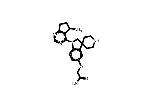 CC1CCc2ncnc(N3CC4(CCNCC4)c4cc(OCC(N)=O)ccc43)c21